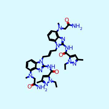 CCn1nc(C)cc1C(=O)Nc1nc2c(N(C)CC(N)=O)cccc2n1C/C=C/Cn1c(NC(=O)c2cc(C)nn2CC)nc2c(N(C)CC(N)=O)cccc21